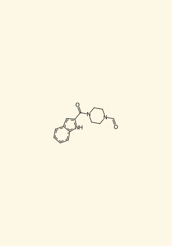 O=CN1CCN(C(=O)c2cc3ccccc3[nH]2)CC1